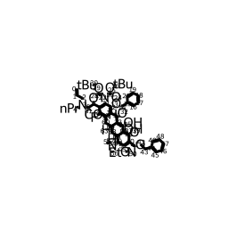 C=CCN(CCC)C(Cc1c(F)c2c(c(OCc3ccccc3)c1N(C(=O)OC(C)(C)C)C(=O)OC(C)(C)C)C(=O)C1=C(O)[C@]3(O)C(=O)c4c(OCc5ccccc5)noc4[C@@H](N(C)CC)[C@@H]3C[C@@H]1C2)C(=O)O